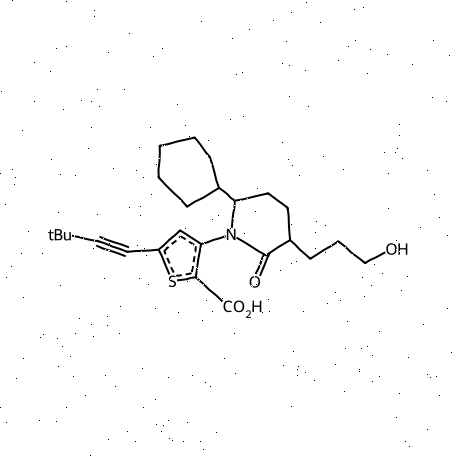 CC(C)(C)C#Cc1cc(N2C(=O)C(CCCO)CCC2C2CCCCC2)c(C(=O)O)s1